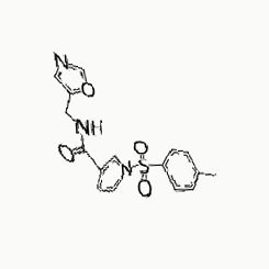 Cc1ccc(S(=O)(=O)n2ccc(C(=O)NCc3cnco3)c2)cc1